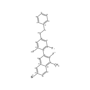 Cc1c(F)c(-c2c(F)cc(SCc3ccccc3)cc2F)nc2cc(Br)ccc12